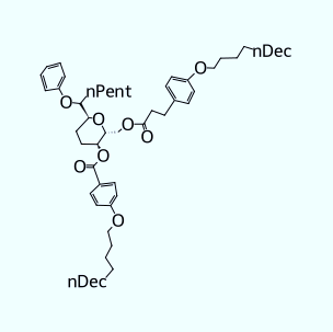 CCCCCCCCCCCCCCOc1ccc(CCC(=O)OC[C@H]2O[C@H](C(CCCCC)Oc3ccccc3)CC[C@@H]2OC(=O)c2ccc(OCCCCCCCCCCCCCC)cc2)cc1